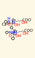 CC(C)c1c(C(=O)Nc2ccccc2)c(-c2ccccc2)c(O)n1CCCCC[C@H](O)C(=O)[O-].CC(C)c1c(C(=O)Nc2ccccc2)c(-c2ccccc2)c(O)n1CCCCC[C@H](O)C(=O)[O-].[Ca+2]